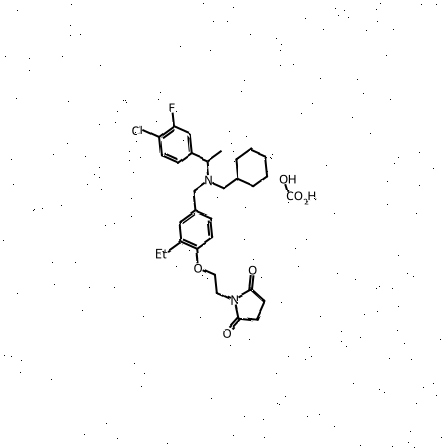 CCc1cc(CN(CC2CCCCC2)C(C)c2ccc(Cl)c(F)c2)ccc1OCCN1C(=O)CCC1=O.O=C(O)O